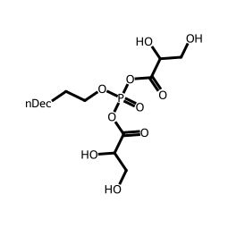 CCCCCCCCCCCCOP(=O)(OC(=O)C(O)CO)OC(=O)C(O)CO